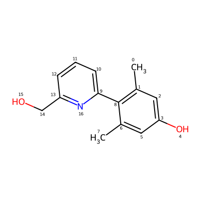 Cc1cc(O)cc(C)c1-c1cccc(CO)n1